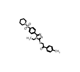 CCn1c(SCC(=O)c2ccc(C)cc2)nnc1-c1ccc(S(=O)(=O)N2CCCCC2)cc1